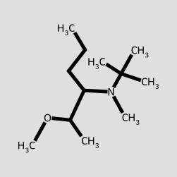 CCCC(C(C)OC)N(C)C(C)(C)C